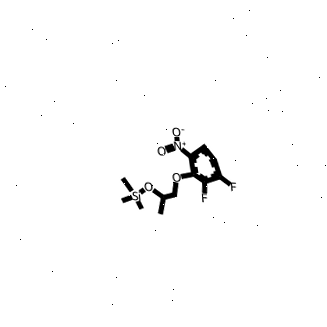 CC(COc1c([N+](=O)[O-])ccc(F)c1F)O[Si](C)(C)C